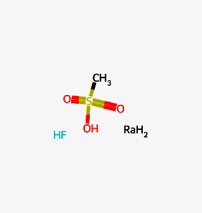 CS(=O)(=O)O.F.[RaH2]